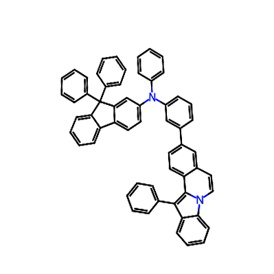 c1ccc(-c2c3ccccc3n3ccc4cc(-c5cccc(N(c6ccccc6)c6ccc7c(c6)C(c6ccccc6)(c6ccccc6)c6ccccc6-7)c5)ccc4c23)cc1